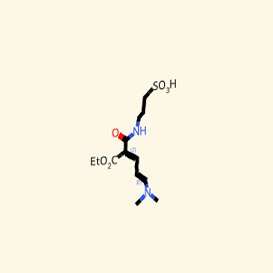 CCOC(=O)/C(=C\C=C\N(C)C)C(=O)NCCCS(=O)(=O)O